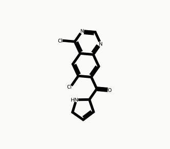 O=C(c1cc2ncnc(Cl)c2cc1Cl)C1C=CCN1